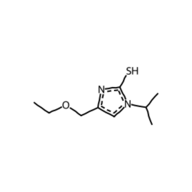 CCOCc1cn(C(C)C)c(S)n1